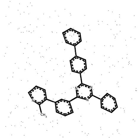 Cc1ncccc1-c1cccc(-c2nc(-c3ccccc3)nc(-c3ccc(-c4ccccc4)cc3)n2)c1